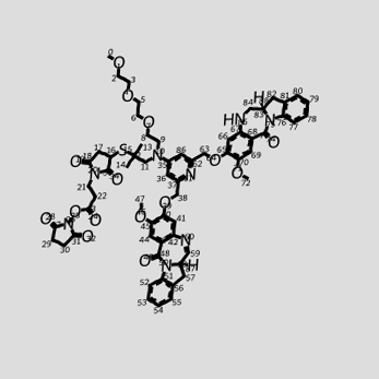 COCCOCCOCCN(CC(C)(C)SC1CC(=O)N(CCC(=O)ON2C(=O)CCC2=O)C1=O)c1cc(COc2cc3c(cc2OC)C(=O)N2c4ccccc4C[C@H]2C=N3)nc(COc2cc3c(cc2OC)C(=O)N2c4ccccc4C[C@H]2CN3)c1